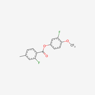 Cc1ccc(C(=O)Oc2ccc(OC(F)(F)F)c(F)c2)c(F)c1